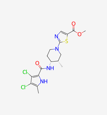 COC(=O)c1cnc(N2CC[C@@H](NC(=O)c3[nH]c(C)c(Cl)c3Cl)[C@@H](C)C2)s1